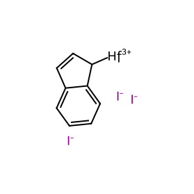 [Hf+3][CH]1C=Cc2ccccc21.[I-].[I-].[I-]